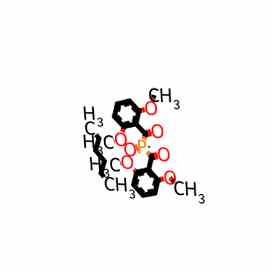 CCCCCC.COc1cccc(OC)c1C(=O)[P](=O)C(=O)c1c(OC)cccc1OC